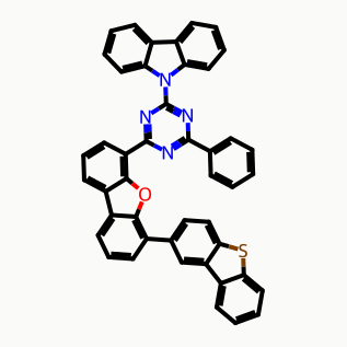 c1ccc(-c2nc(-c3cccc4c3oc3c(-c5ccc6sc7ccccc7c6c5)cccc34)nc(-n3c4ccccc4c4ccccc43)n2)cc1